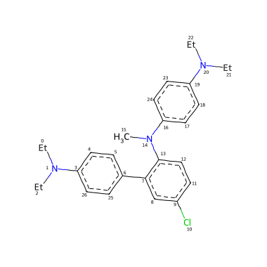 CCN(CC)c1ccc(-c2cc(Cl)ccc2N(C)c2ccc(N(CC)CC)cc2)cc1